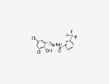 O=C(N/N=C/c1cc(Cl)cc(Cl)c1O)c1cccc(C(F)(F)F)c1